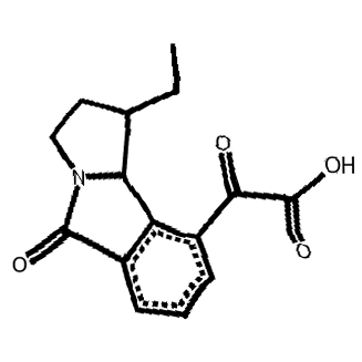 CCC1CCN2C(=O)c3cccc(C(=O)C(=O)O)c3C12